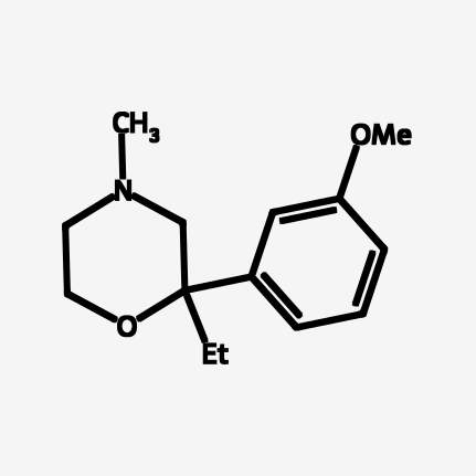 CCC1(c2cccc(OC)c2)CN(C)CCO1